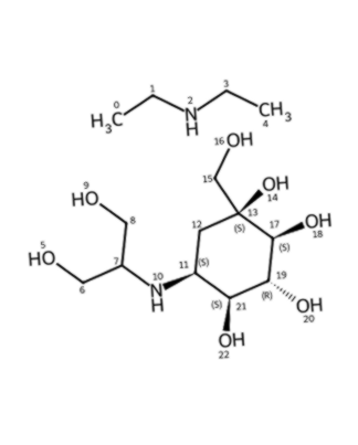 CCNCC.OCC(CO)N[C@H]1C[C@](O)(CO)[C@@H](O)[C@H](O)[C@H]1O